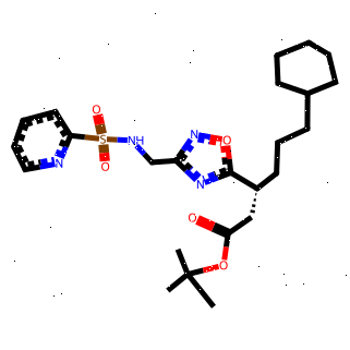 CC(C)(C)OC(=O)C[C@@H](CCCC1CCCCC1)c1nc(CNS(=O)(=O)c2ccccn2)no1